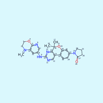 CN1CCOc2ncc(Nc3ncc4c(n3)C(C)(C)Oc3cc(N5CCCC5=O)ccc3-4)cc21